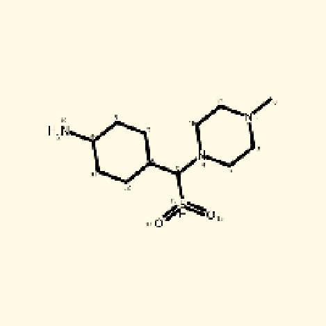 CN1CCN(C(C2CCC(N)CC2)[SH](=O)=O)CC1